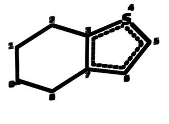 [C]1CCc2sccc2C1